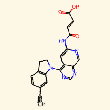 C#Cc1ccc2c(c1)N(c1ncnc3cnc(NC(=O)C=CC(=O)O)cc13)CC2